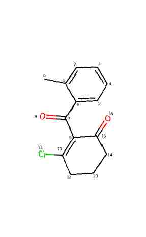 Cc1ccccc1C(=O)C1=C(Cl)CCCC1=O